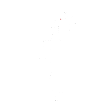 CCC(C)C(=O)OCCCCOC(=O)c1ccc(OS(=O)(=O)C(F)(F)C(F)(F)C(F)(F)S(=O)(=O)CC)cc1